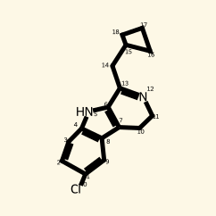 Clc1ccc2[nH]c3c(c2c1)CCN=C3CC1CCC1